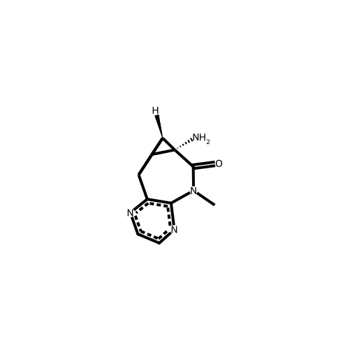 CN1C(=O)[C@@]2(N)C3C(c4nccnc41)[C@@H]32